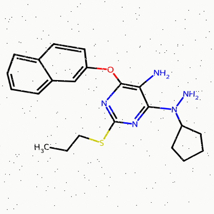 CCCSc1nc(Oc2ccc3ccccc3c2)c(N)c(N(N)C2CCCC2)n1